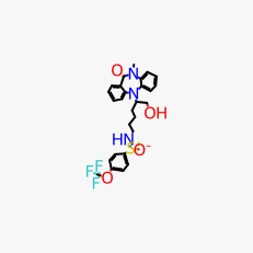 CN1C(=O)c2ccccc2N(C(CO)CCCCN[S+]([O-])c2ccc(OC(F)(F)F)cc2)c2ccccc21